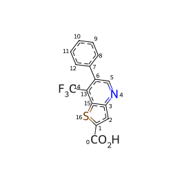 O=C(O)c1cc2ncc(-c3ccccc3)c(C(F)(F)F)c2s1